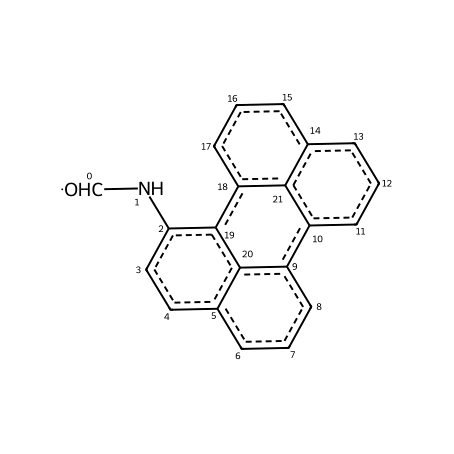 O=[C]Nc1ccc2cccc3c4cccc5cccc(c1c23)c54